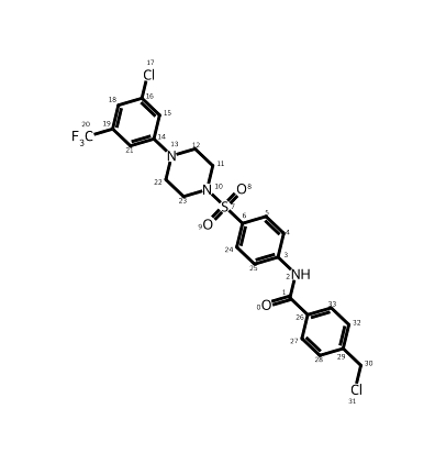 O=C(Nc1ccc(S(=O)(=O)N2CCN(c3cc(Cl)cc(C(F)(F)F)c3)CC2)cc1)c1ccc(CCl)cc1